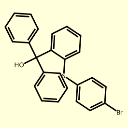 OC(c1ccccc1)(c1ccccc1)c1ccccc1Sc1ccc(Br)cc1